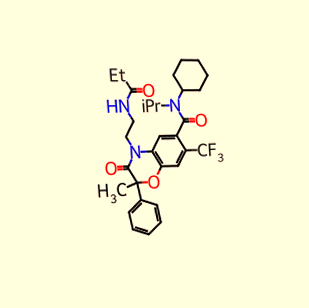 CCC(=O)NCCN1C(=O)C(C)(c2ccccc2)Oc2cc(C(F)(F)F)c(C(=O)N(C(C)C)C3CCCCC3)cc21